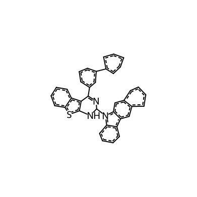 c1ccc(-c2cccc(C3=NC(n4c5ccccc5c5cc6ccccc6cc54)Nc4sc5ccccc5c43)c2)cc1